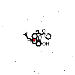 O=C(/C=C1\CC[C@]12CC[C@@]1(O)[C@H]3Cc4ccc(O)c5c4[C@@]1(CCN3CC1CC1)[C@H]2O5)N1CCCCC1